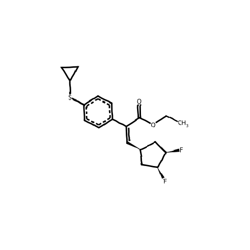 CCOC(=O)C(=C[C@H]1C[C@@H](F)[C@@H](F)C1)c1ccc(SC2CC2)cc1